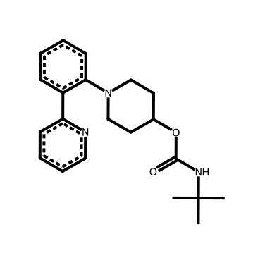 CC(C)(C)NC(=O)OC1CCN(c2ccccc2-c2ccccn2)CC1